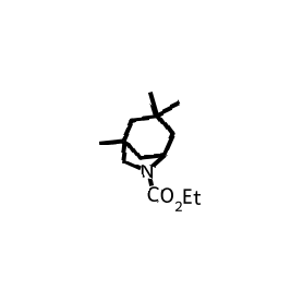 CCOC(=O)N1CC2(C)CC1CC(C)(C)C2